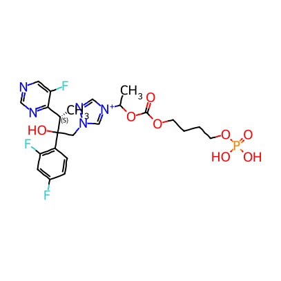 CC(OC(=O)OCCCCOP(=O)(O)O)[n+]1cnn(CC(O)(c2ccc(F)cc2F)[C@@H](C)c2ncncc2F)c1